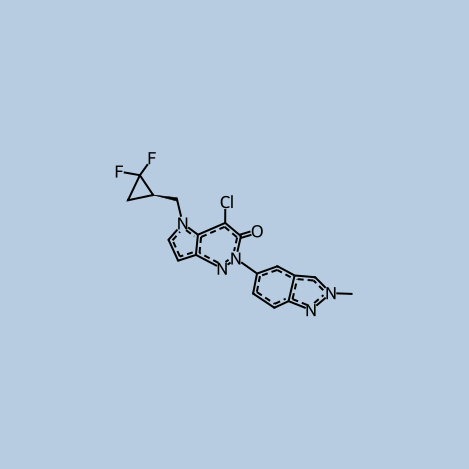 Cn1cc2cc(-n3nc4ccn(C[C@H]5CC5(F)F)c4c(Cl)c3=O)ccc2n1